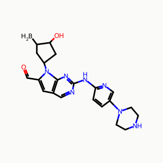 BC1CC(n2c(C=O)cc3cnc(Nc4ccc(N5CCNCC5)cn4)nc32)CC1O